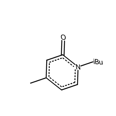 CCC(C)n1ccc(C)cc1=O